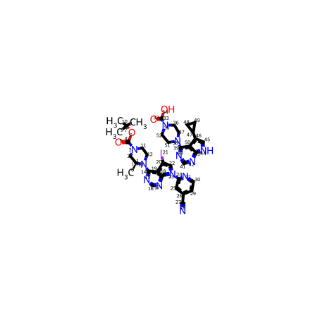 C[C@H]1CN(C(=O)OC(C)(C)C)CCN1c1ncnc2c1c(I)cn2-c1cc(C#N)ccn1.O=C(O)N1CCN(c2ncnc3[nH]cc(C4CC4)c23)CC1